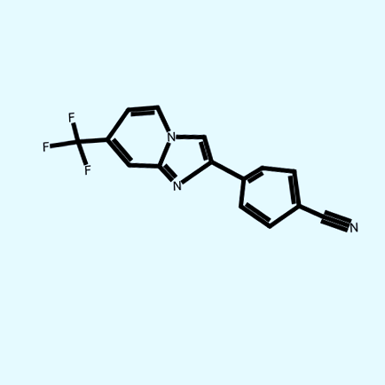 N#Cc1ccc(-c2cn3ccc(C(F)(F)F)cc3n2)cc1